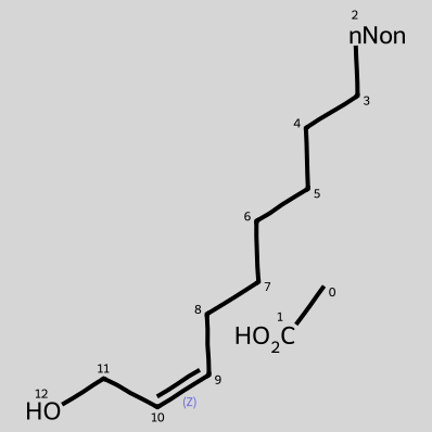 CC(=O)O.CCCCCCCCCCCCCCC/C=C\CO